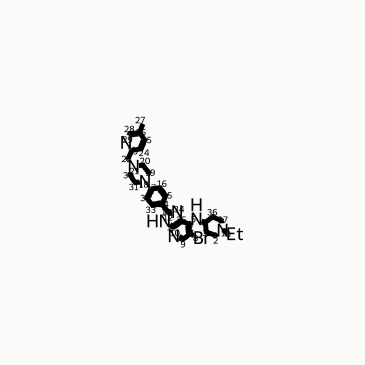 CCN1CCC(Nc2c(Br)cnc3[nH]c(-c4ccc(N5CCN(Cc6ccc(C)cn6)CC5)cc4)nc23)CC1